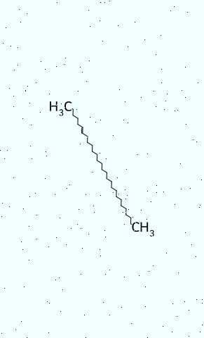 CCCCC/C=C/CCCCCCCCCCCCCCCCCCCCC